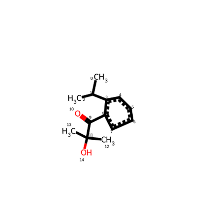 CC(C)c1ccccc1C(=O)C(C)(C)O